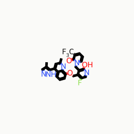 Cc1cc(-c2[nH]ncc2C)c2cccc(OCc3c(F)cnc(O)c3Cn3cccc(C(F)(F)F)c3=O)c2n1